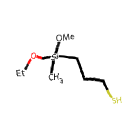 CCO[Si](C)(CCCS)OC